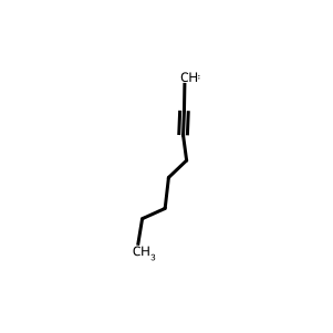 [CH]C#CCCCCC